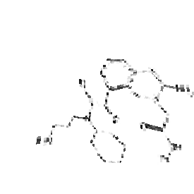 CC(C)NC(=O)CN1Cc2c(cccc2C(=O)C(=O)N(CCCO)C2CCCCC2)N=C1N